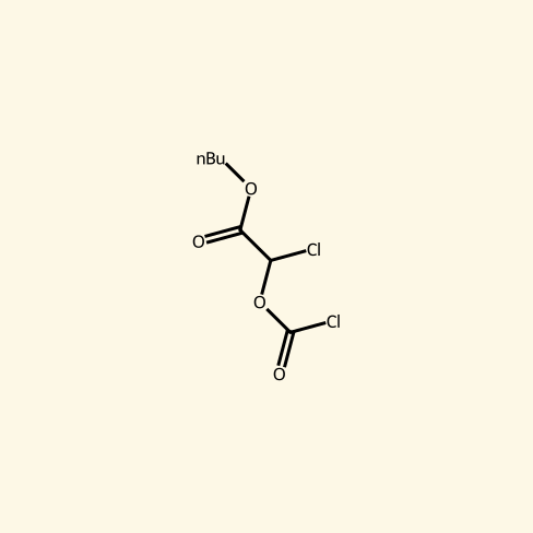 CCCCOC(=O)C(Cl)OC(=O)Cl